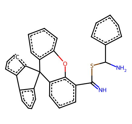 N=C(SC(N)c1ccccc1)c1cccc2c1Oc1ccccc1C21c2ccccc2-c2ccccc21